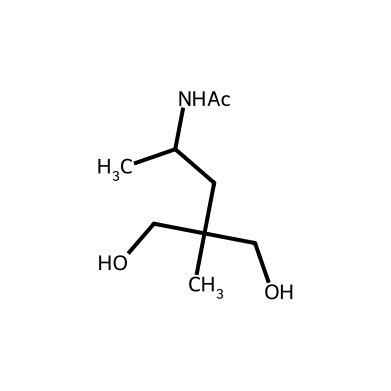 CC(=O)NC(C)CC(C)(CO)CO